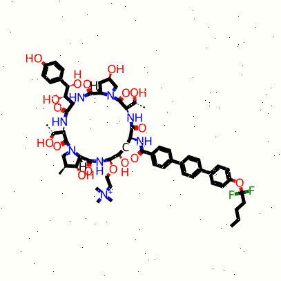 CCCCC(F)(F)Oc1ccc(-c2ccc(-c3ccc(C(=O)N[C@H]4C[C@@H](O)[C@@H](OCC[N+](C)(C)C)NC(=O)[C@@H]5[C@@H](O)[C@@H](C)CN5C(=O)[C@H]([C@@H](C)O)NC(=O)[C@H]([C@H](O)[C@@H](O)c5ccc(O)cc5)NC(=O)[C@@H]5C[C@@H](O)CN5C(=O)[C@H]([C@@H](C)O)NC4=O)cc3)cc2)cc1